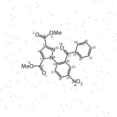 COC(=O)c1cc(C(=O)OC)n(-c2ccc([N+](=O)[O-])cc2C(=O)c2ccccc2)n1